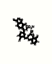 CC[C@@H]1CN(Cc2cc([C@@H](CC(=O)O)c3ccc4c(nnn4C)c3C)ccc2C)Cc2cccc(C)c2O1